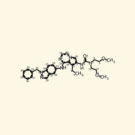 CCc1c(NC(=O)N(CCOC)CCOC)cn2ncnc(Nc3ccc4c(cnn4Cc4ccccc4)c3)c12